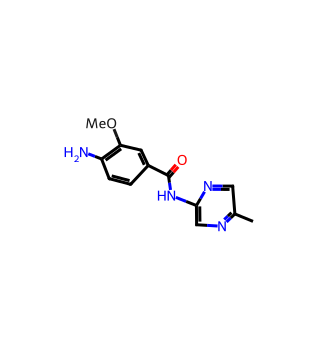 COc1cc(C(=O)Nc2cnc(C)cn2)ccc1N